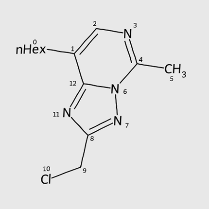 CCCCCCc1cnc(C)n2nc(CCl)nc12